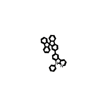 C1=CC2c3ccc(-c4ccc5c(c4)c4cccnc4n5-c4ccccc4)cc3C3(c4ccccc4-c4ccccc43)C2C=C1